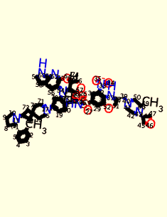 Cc1ccccc1[C@@H]1CCCN1C1CC2(CCN(c3ccc(C(=O)NS(=O)(=O)c4cc5c(c([N+](=O)[O-])c4)N[C@H](CN4CCN(C6COC6)[C@H](C)C4)CO5)c(N4c5cc6cc[nH]c6nc5O[C@H]5COC[C@H]54)c3)CC2)C1